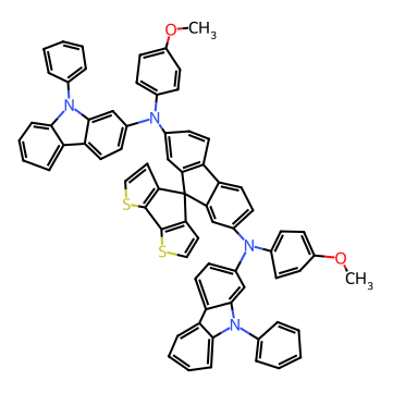 COc1ccc(N(c2ccc3c(c2)C2(c4cc(N(c5ccc(OC)cc5)c5ccc6c7ccccc7n(-c7ccccc7)c6c5)ccc4-3)c3ccsc3-c3sccc32)c2ccc3c4ccccc4n(-c4ccccc4)c3c2)cc1